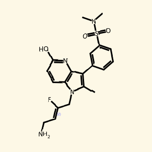 Cc1c(-c2cccc(S(=O)(=O)N(C)C)c2)c2nc(O)ccc2n1C/C(F)=C/CN